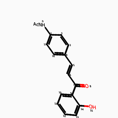 CC(=O)Nc1ccc(/C=C/C(=O)c2ccccc2O)cc1